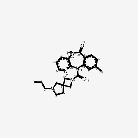 CCCN1CCC2(C1)CN(C(=O)N1c3cc(C)ccc3C(=O)Nc3cccnc31)C2